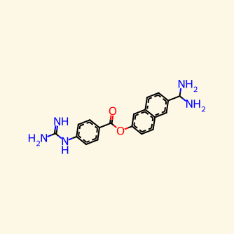 N=C(N)Nc1ccc(C(=O)Oc2ccc3cc(C(N)N)ccc3c2)cc1